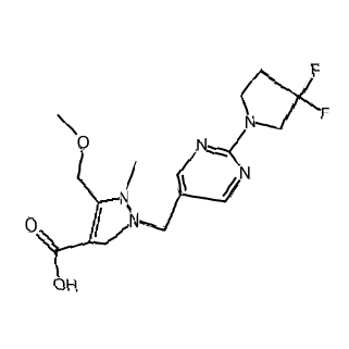 COCC1=C(C(=O)O)CN(Cc2cnc(N3CCC(F)(F)C3)nc2)N1C